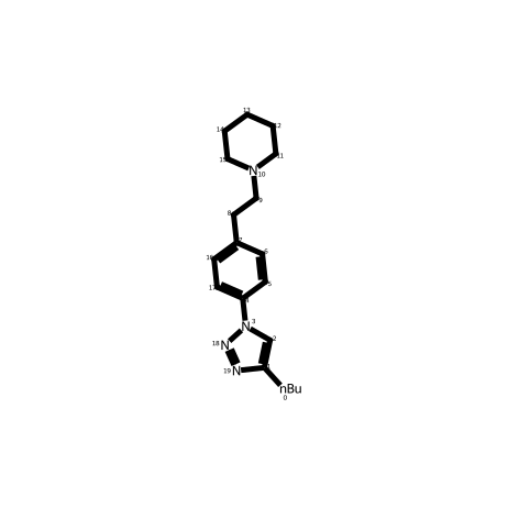 CCCCc1cn(-c2ccc(CCN3CCCCC3)cc2)nn1